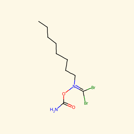 CCCCCCCC[N+](OC(N)=O)=C(Br)Br